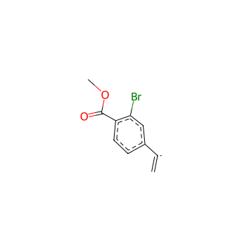 C=[C]c1ccc(C(=O)OC)c(Br)c1